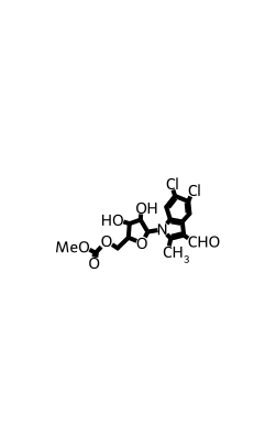 COC(=O)OCC1OC(n2c(C)c(C=O)c3cc(Cl)c(Cl)cc32)C(O)C1O